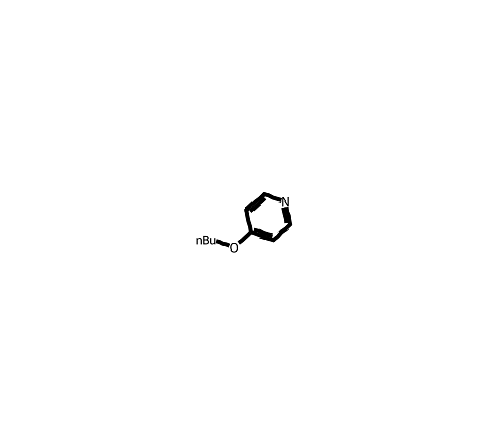 [CH2]CCCOc1ccncc1